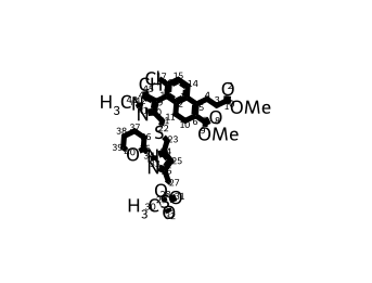 COC(=O)CCC1=C(C(=O)OC)CCc2c1ccc(Cl)c2-c1c(CSCc2cc(COS(C)(=O)=O)nn2C2CCCCO2)nn(C)c1C